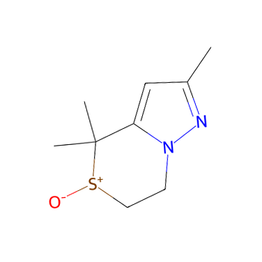 Cc1cc2n(n1)CC[S+]([O-])C2(C)C